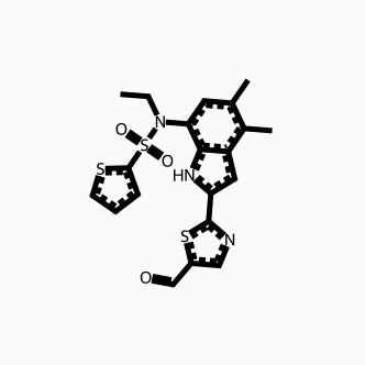 CCN(c1cc(C)c(C)c2cc(-c3ncc(C=O)s3)[nH]c12)S(=O)(=O)c1cccs1